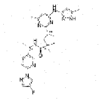 Cc1cc(Nc2cc(C)[nH]n2)nc([C@@H]2CC[C@@](C)(C(=O)N[C@@H](C)c3ccc(-n4cc(F)cn4)nc3)C2)n1